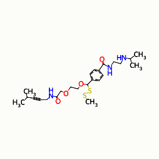 CSSC(OCCOCC(=O)NCC#CC(C)C)c1ccc(C(=O)NCCNC(C)C)cc1